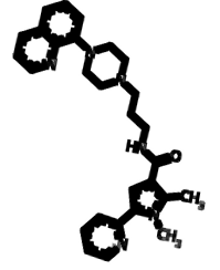 Cc1c(C(=O)NCCCN2CCN(c3cccc4cccnc34)CC2)cc(-c2ccccn2)n1C